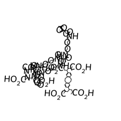 C=CS(=O)(=O)CCOC(=O)NCCOCCOCCNC(=O)C(CC(C)C(=O)NCCOCCOCCNCC(=O)N1CCN(CC(=O)O)CCN(CC(=O)O)CCN(CC(=O)O)CC1)CC(CC(CC(CC(C)C(=O)O)c1ccc2c(c1)CCc1ccc(C(CC(C)C(=O)O)CC(C)C(=O)O)cc1CC2)C(=O)O)C(=O)NCCOCCOCCNC(=O)OCCS(=O)(=O)C=C